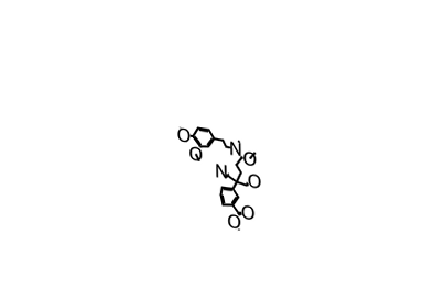 COC(=O)c1cccc(C(C#N)(C=O)CCC(OC)N(C)CCc2ccc(OC)c(OC)c2)c1